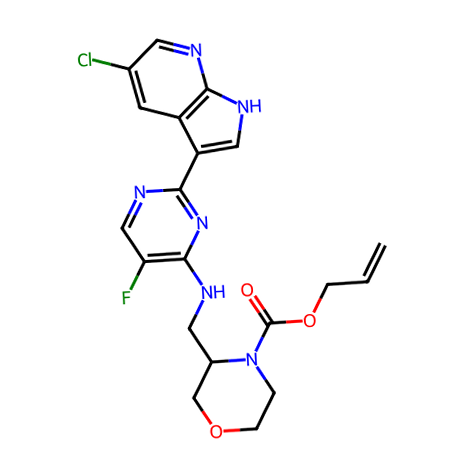 C=CCOC(=O)N1CCOCC1CNc1nc(-c2c[nH]c3ncc(Cl)cc23)ncc1F